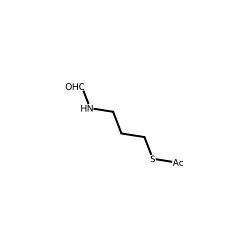 CC(=O)SCCCNC=O